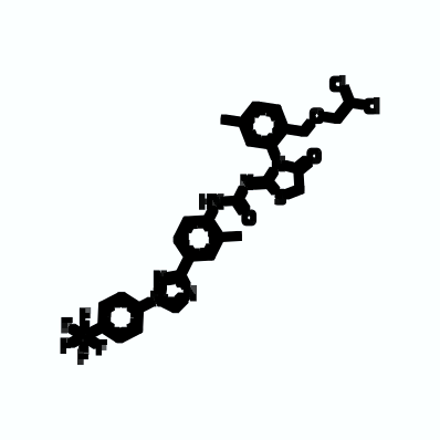 Cc1ccc(COCC(Cl)Cl)c(N2C(=O)CS/C2=N\C(=O)Nc2ccc(-c3ncn(-c4ccc(S(F)(F)(F)(F)F)cc4)n3)cc2C)c1